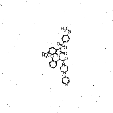 COc1ccc(S(=O)(=O)n2c(=O)n(C(C(=O)N3CCN(c4ccncc4)CC3)c3ccccc3OC)c3cc(Cl)ccc32)cc1